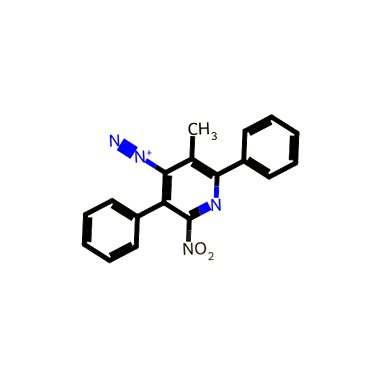 Cc1c(-c2ccccc2)nc([N+](=O)[O-])c(-c2ccccc2)c1[N+]#N